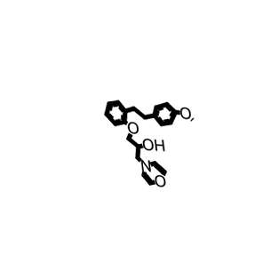 COc1ccc(CCc2ccccc2OCC(O)CN2C=COC=C2)cc1